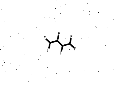 FC(F)C(F)C(F)C(F)F